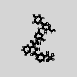 CCC(=O)N[C@H](Cc1ccc(NC(=O)[C@@H](NC(=O)c2cccc(NS(C)(=O)=O)c2)C2CCCCC2)c(F)c1)C(=O)N1CCN(C)CC1